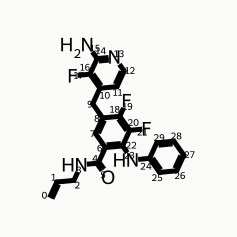 C=CCNC(=O)c1cc(Cc2ccnc(N)c2F)c(F)c(F)c1Nc1ccccc1